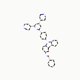 c1ccc(-c2nc3ccc4c(c5ccccc5n4-c4ccc(-c5cc(-c6ccncc6)cc(-c6ccncc6)n5)cc4)c3o2)cc1